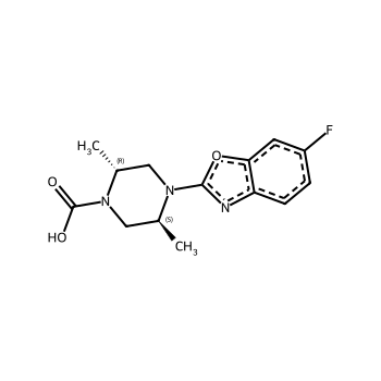 C[C@@H]1CN(c2nc3ccc(F)cc3o2)[C@@H](C)CN1C(=O)O